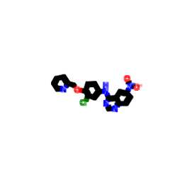 O=[N+]([O-])c1[c]cc2ncnc(Nc3ccc(OCc4ccccn4)c(Cl)c3)c2c1